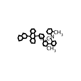 C/C(=N\c1ccccc1C)c1ccccc1-c1cc(-c2cccc(-c3c4ccccc4c(-c4ccc5ccccc5c4)c4ccccc34)c2)ccc1C